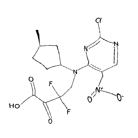 C[C@@H]1CCC(N(CC(F)(F)C(=O)C(=O)O)c2nc(Cl)ncc2[N+](=O)[O-])C1